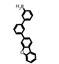 Bc1cccc(-c2cccc(-c3ccc4c(c3)oc3ccccc34)c2)c1